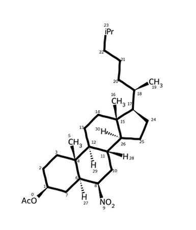 CC(=O)O[C@H]1CC[C@@]2(C)[C@H](C1)[C@H]([N+](=O)[O-])C[C@@H]1[C@@H]2CC[C@]2(C)[C@@H]([C@H](C)CCCC(C)C)CC[C@@H]12